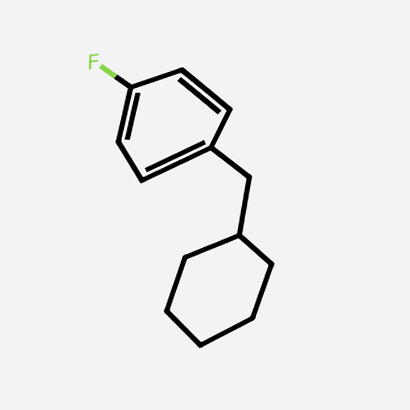 Fc1ccc(CC2CCCCC2)cc1